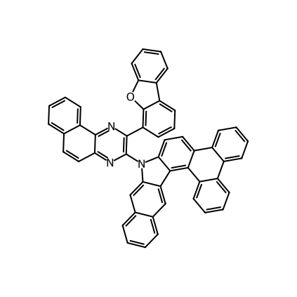 c1ccc2cc3c(cc2c1)c1c2c4ccccc4c4ccccc4c2ccc1n3-c1nc2ccc3ccccc3c2nc1-c1cccc2c1oc1ccccc12